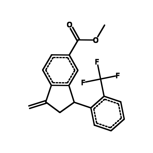 C=C1CC(c2ccccc2C(F)(F)F)c2cc(C(=O)OC)ccc21